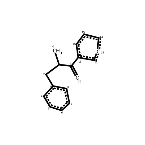 CC(Cc1ccccc1)C(=O)c1ccccc1